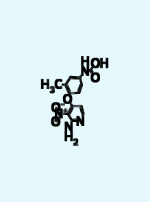 Cc1cc(NC(=O)O)ccc1Oc1ccnc(N)c1[N+](=O)[O-]